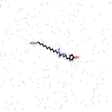 CCCCCCCCCCCCCCCCCCCCCCNC(=O)NCCCc1ccc(O)cc1